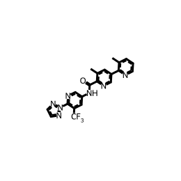 Cc1cc(-c2ncccc2C)cnc1C(=O)Nc1cnc(-n2nccn2)c(C(F)(F)F)c1